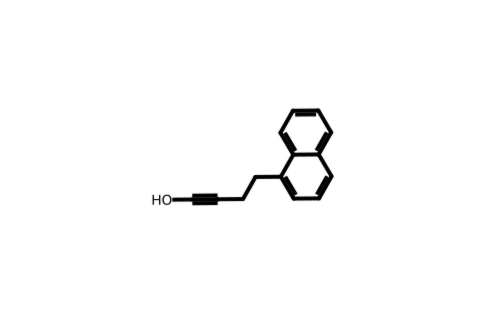 OC#CCCc1cccc2ccccc12